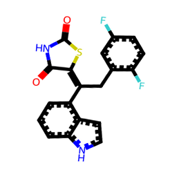 O=C1NC(=O)C(=C(Cc2cc(F)ccc2F)c2cccc3[nH]ccc23)S1